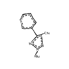 CCCCn1nc(C#N)c(-c2ccccc2)n1